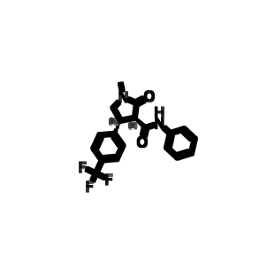 CN1C[C@@H](c2ccc(C(F)(F)F)cc2)[C@H](C(=O)Nc2ccccc2)C1=O